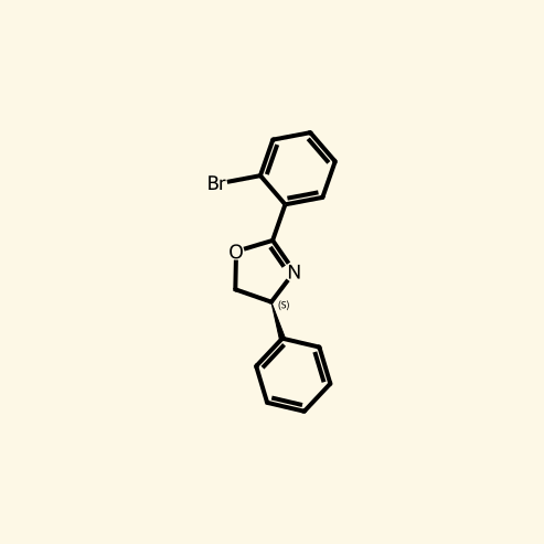 Brc1ccccc1C1=N[C@@H](c2ccccc2)CO1